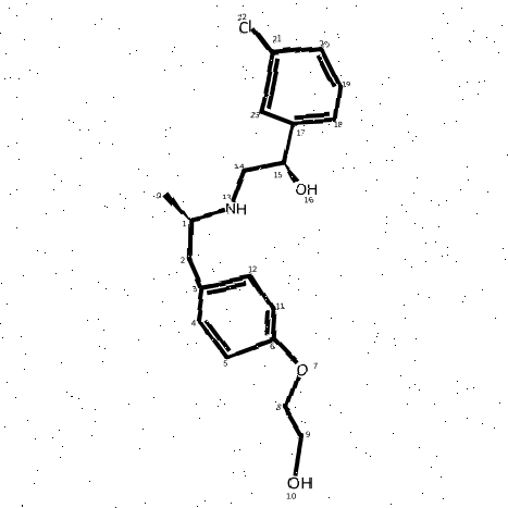 C[C@H](Cc1ccc(OCCO)cc1)NC[C@H](O)c1cccc(Cl)c1